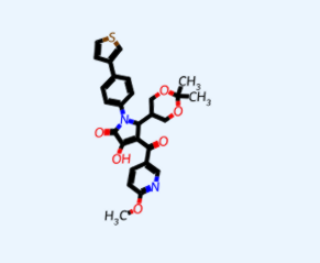 COc1ccc(C(=O)C2=C(O)C(=O)N(c3ccc(-c4ccsc4)cc3)C2C2COC(C)(C)OC2)cn1